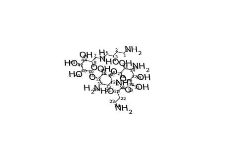 NCCC(O)CNC[C@H]1O[C@H](OC2[C@@H](N)C[C@@H](NC(=O)[C@@H](O)CCN)[C@H](O[C@H]3O[C@H](CO)[C@@H](O)[C@H](N)[C@H]3O)[C@H]2O)[C@H](O)[C@@H](O)[C@@H]1O